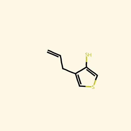 C=CCc1cscc1S